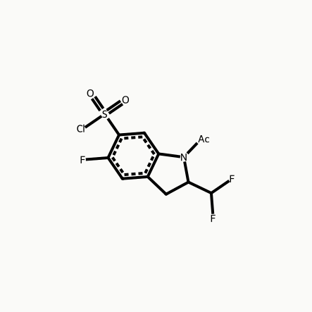 CC(=O)N1c2cc(S(=O)(=O)Cl)c(F)cc2CC1C(F)F